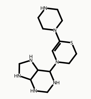 C1=C(N2CCNCC2)SCCN1C1NCNC2NCNC21